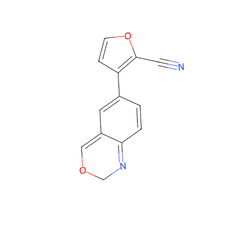 N#Cc1occc1-c1ccc2c(c1)=COCN=2